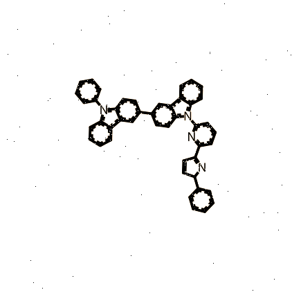 C1=CC(c2ccccc2)N=C1c1cccc(-n2c3ccccc3c3cc(-c4ccc5c(c4)c4ccccc4n5-c4ccccc4)ccc32)n1